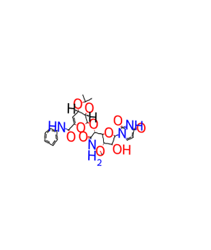 CO[C@H]1[C@@H](O)[C@H](n2ccc(=O)[nH]c2=O)O[C@@H]1[C@@H](O[C@H]1OC(C(=O)Nc2ccccc2)=C[C@@H]2OC(C)(C)O[C@H]12)C(N)=O